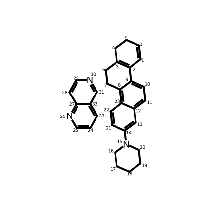 C1=CC2=C(CC1)CCc1c2ccc2cc(N3CCCCC3)ccc12.c1cnc2ccncc2c1